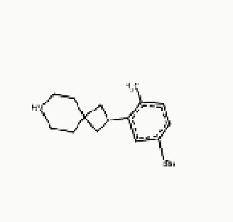 Cc1ccc(C(C)(C)C)cc1C1CC2(CCNCC2)C1